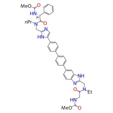 CCCN(Cc1ncc(-c2ccc(-c3ccc(-c4ccc5nc(CN(CC)C(=O)CNC(=O)OC)[nH]c5c4)cc3)cc2)[nH]1)C(=O)[C@H](NC(=O)OC)c1ccccc1